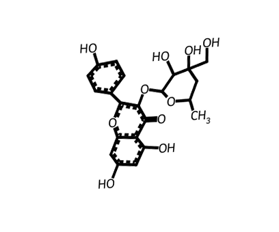 CC1CC(O)(CO)C(O)C(Oc2c(-c3ccc(O)cc3)oc3cc(O)cc(O)c3c2=O)O1